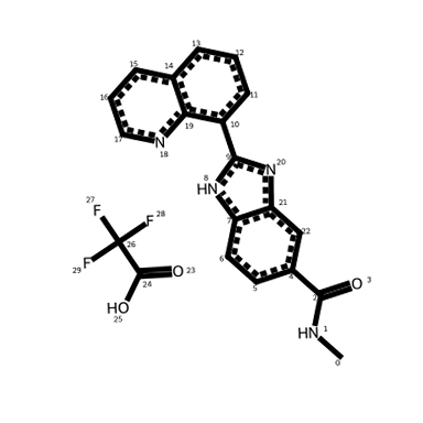 CNC(=O)c1ccc2[nH]c(-c3cccc4cccnc34)nc2c1.O=C(O)C(F)(F)F